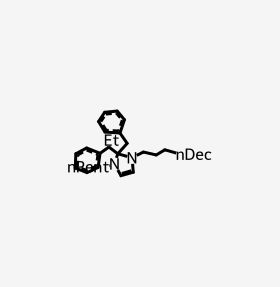 CCCCCCCCCCCCCN1C=CN(CCCCC)C1(Cc1ccccc1)C(CC)c1ccccc1